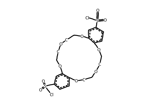 O=S(=O)(Cl)c1ccc2c(c1)OCCOCCOc1cc(S(=O)(=O)Cl)ccc1OCCOCCO2